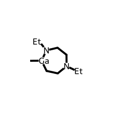 CCN1CC[N](CC)[Ga]([CH3])[CH2]C1